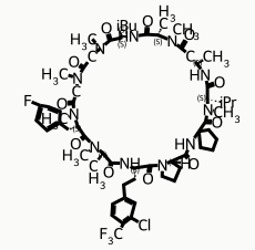 CC[C@H](C)[C@@H]1NC(=O)[C@H](C)N(C)C(=O)C[C@@H](C)NC(=O)[C@H](C(C)C)N(C)C(=O)C2(CCCC2)NC(=O)[C@@H]2CCCN2C(=O)[C@H](CCc2ccc(C(F)(F)F)c(Cl)c2)NC(=O)[C@@H](C)N(C)C(=O)[C@H](Cc2ccc(F)cc2)N(C)C(=O)CN(C)C(=O)CN(C)C1=O